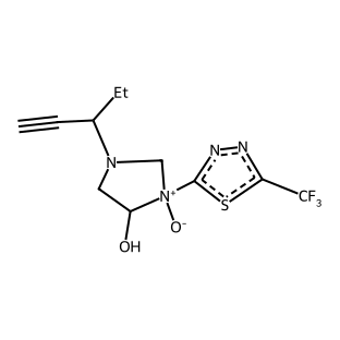 C#CC(CC)N1CC(O)[N+]([O-])(c2nnc(C(F)(F)F)s2)C1